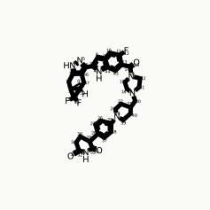 C[C@@]12Cc3[nH]nc(-c4cc5cc(F)c(C(=O)N6CCN(CC7CCN(c8ccc(C9CCC(=O)NC9=O)cc8)CC7)CC6)cc5[nH]4)c3C[C@@H]1C2(F)F